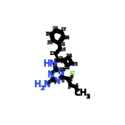 CCC[C@@H](F)c1nc(N)nc(N[C@@H](CCc2ccccc2)C2CCC2)n1